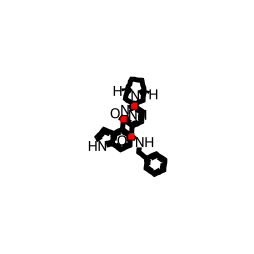 O=C(NCc1ccccc1)c1ccc(N2[C@@H]3CC[C@H]2C[C@@H](NC(=O)c2cccc4[nH]ccc24)C3)nc1